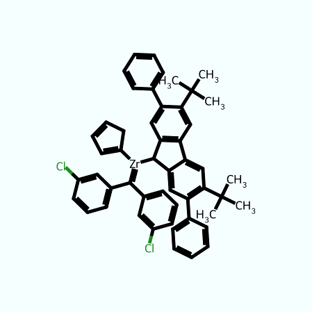 CC(C)(C)c1cc2c(cc1-c1ccccc1)[CH]([Zr]([C]1=CC=CC1)=[C](c1cccc(Cl)c1)c1cccc(Cl)c1)c1cc(-c3ccccc3)c(C(C)(C)C)cc1-2